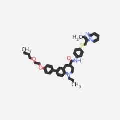 CCCCOCCOc1ccc(-c2ccc3c(c2)C=C(C(=O)Nc2ccc(SCc4c(C)nc5ccccn45)cc2)CCN3CCC)cc1